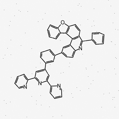 c1ccc(-c2nc3ccc(-c4cccc(-c5cc(-c6ccccn6)nc(-c6ccccn6)c5)c4)cc3c3c2ccc2oc4ccccc4c23)cc1